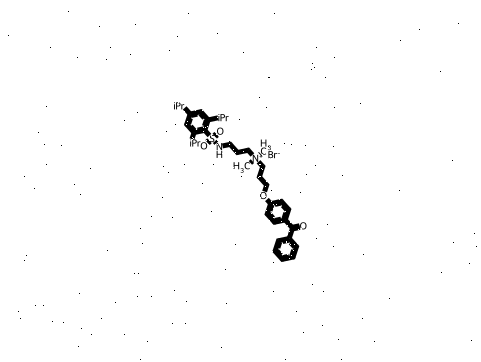 CC(C)c1cc(C(C)C)c(S(=O)(=O)NCCC[N+](C)(C)CCCOc2ccc(C(=O)c3ccccc3)cc2)c(C(C)C)c1.[Br-]